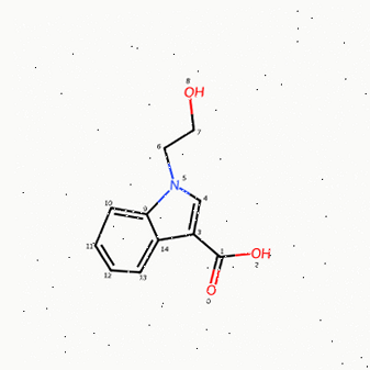 O=C(O)c1cn(CCO)c2ccccc12